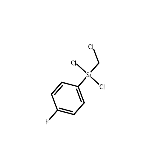 Fc1ccc([Si](Cl)(Cl)CCl)cc1